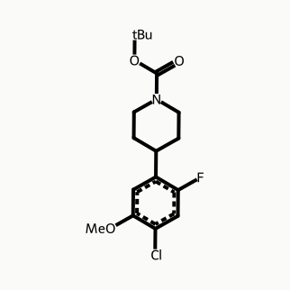 COc1cc(C2CCN(C(=O)OC(C)(C)C)CC2)c(F)cc1Cl